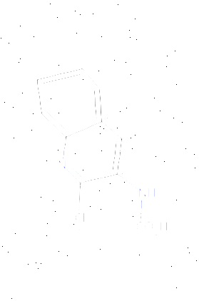 O=C(O)Nc1cc2ccccc2nc1Cl